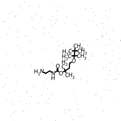 CC(C)(CCOC(C)(C)C(C)(C)C)OC(=O)NCCN